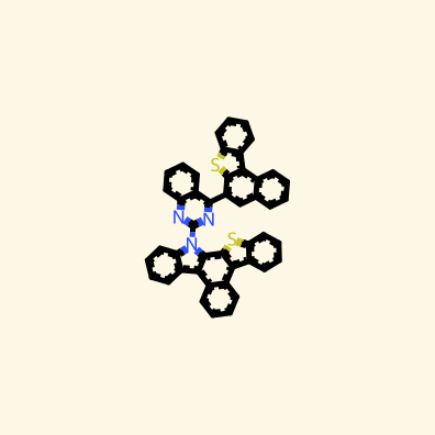 c1ccc2c(c1)cc(-c1nc(-n3c4ccccc4c4c5ccccc5c5c6ccccc6sc5c43)nc3ccccc13)c1sc3ccccc3c12